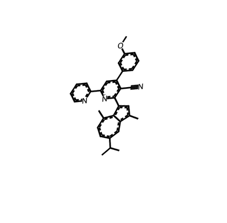 COc1cccc(-c2cc(-c3ccccn3)nc(-c3cc(C)c4cc(C(C)C)ccc(C)c3-4)c2C#N)c1